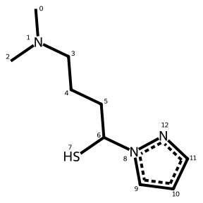 CN(C)CCCC(S)n1cccn1